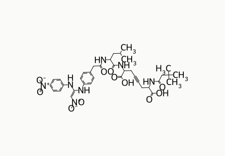 CC(C)CC(NC(=O)Cc1ccc(NC(=C[N+](=O)[O-])Nc2ccc([N+](=O)[O-])cc2)cc1)C(=O)NC(CC#CCC(NC(=O)CC(C)(C)C)C(=O)O)C(=O)O